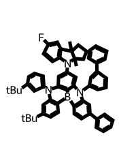 CC(C)(C)c1cccc(N2c3cc(C(C)(C)C)ccc3B3c4ccc(-c5ccccc5)cc4N(c4cccc(-c5ccccc5)c4)c4cc(N5c6ccc(F)cc6C6(C)CCCC56C)cc2c43)c1